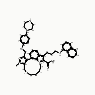 Cn1nc(COc2ccc(N3CCOCC3)cc2)c2c1COCCCCn1c(C(=O)O)c(CCCOc3cccc4ccccc34)c3cccc-2c31